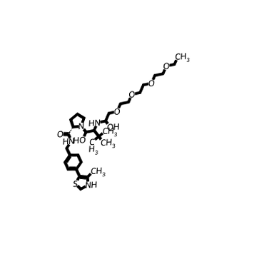 CCOCCOCCOCCOCC(O)NC(C(O)N1CCC[C@H]1C(=O)NCC1=CC=C(C2=C(C)NCS2)CC1)C(C)(C)C